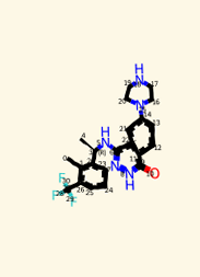 Cc1c([C@@H](C)Nc2n[nH]c(=O)c3ccc(N4CCNCC4)cc23)cccc1C(F)(F)F